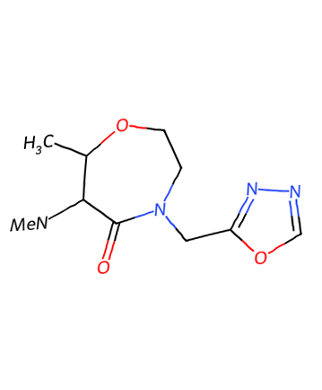 CNC1C(=O)N(Cc2nnco2)CCOC1C